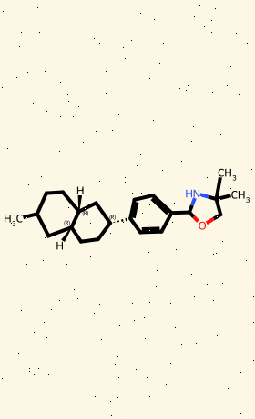 CC1CC[C@@H]2C[C@H](c3ccc(C4NC(C)(C)CO4)cc3)CC[C@@H]2C1